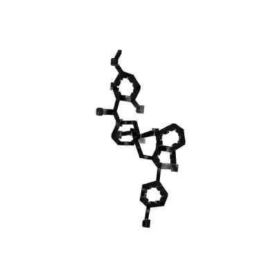 COc1ccc(Cl)c(C(=O)N2C[C@@H]3CCC2CN3Cc2c(-c3ccc(Cl)cc3)nc3ccccn23)n1